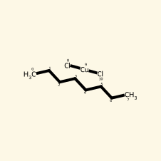 CCCCCCCC.[Cl][Cu][Cl]